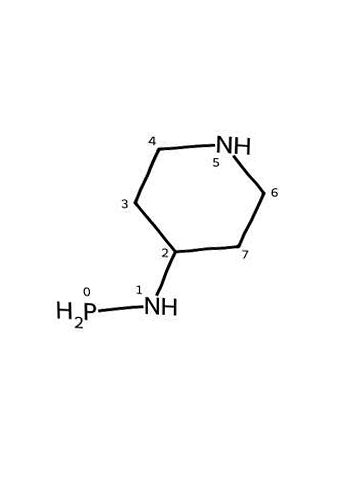 PNC1CCNCC1